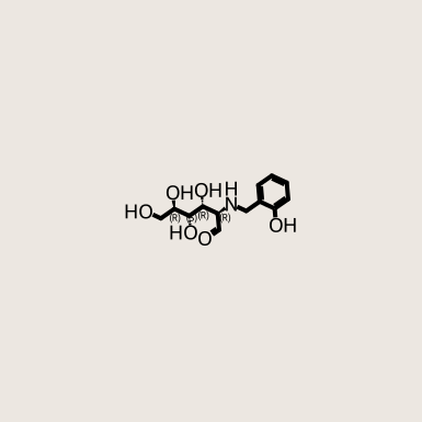 O=C[C@H](NCc1ccccc1O)[C@@H](O)[C@H](O)[C@H](O)CO